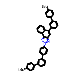 CC(C)(C)c1ccc(-c2cccc(-c3ccc(-n4nc5cc(-c6cccc(-c7ccc(C(C)(C)C)cc7)c6)c6ccccc6c5n4)cc3)c2)cc1